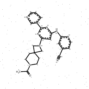 CC(=O)N1CCC2(CC1)CN(c1cc(Nc3cc(C#N)ccn3)nc(-c3cccnc3)n1)C2